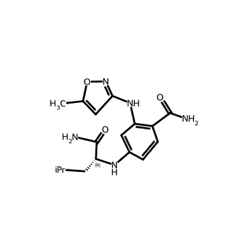 Cc1cc(Nc2cc(N[C@H](CC(C)C)C(N)=O)ccc2C(N)=O)no1